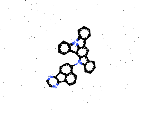 c1cc2c3c(ccc(-n4c5ccccc5c5cc6c7ccccc7n7c8ccccc8c(c54)c67)c3c1)-c1nccnc1-2